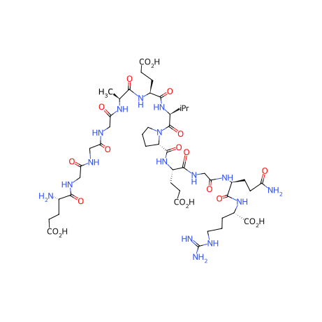 CC(C)[C@H](NC(=O)[C@H](CCC(=O)O)NC(=O)[C@H](C)NC(=O)CNC(=O)CNC(=O)CNC(=O)[C@@H](N)CCC(=O)O)C(=O)N1CCC[C@H]1C(=O)N[C@@H](CCC(=O)O)C(=O)NCC(=O)N[C@@H](CCC(N)=O)C(=O)N[C@@H](CCCNC(=N)N)C(=O)O